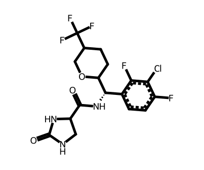 O=C1NCC(C(=O)N[C@@H](c2ccc(F)c(Cl)c2F)C2CCC(C(F)(F)F)CO2)N1